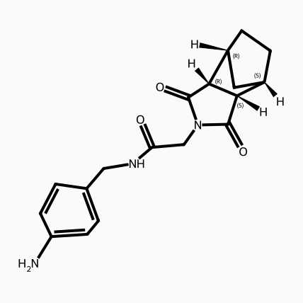 Nc1ccc(CNC(=O)CN2C(=O)[C@@H]3[C@@H]4CC[C@@H](C4)[C@@H]3C2=O)cc1